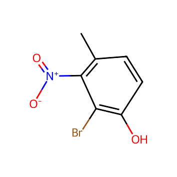 Cc1ccc(O)c(Br)c1[N+](=O)[O-]